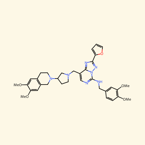 COc1ccc(CNc2ncc(CN3CCC(N4CCc5cc(OC)c(OC)cc5C4)C3)c3nc(-c4ccco4)nn23)cc1OC